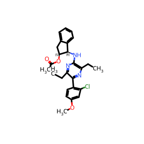 CCc1nc(-c2ccc(OC)cc2Cl)c(CC)nc1N[C@@H]1c2ccccc2C[C@@H]1OC(C)=O